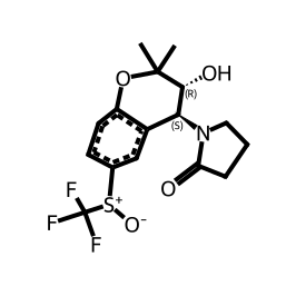 CC1(C)Oc2ccc([S+]([O-])C(F)(F)F)cc2[C@H](N2CCCC2=O)[C@H]1O